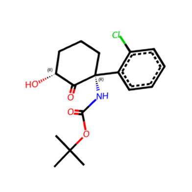 CC(C)(C)OC(=O)N[C@@]1(c2ccccc2Cl)CCC[C@@H](O)C1=O